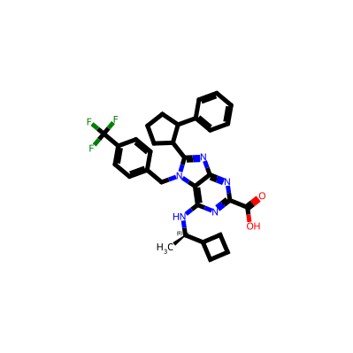 C[C@@H](Nc1nc(C(=O)O)nc2nc(C3CCCC3c3ccccc3)n(Cc3ccc(C(F)(F)F)cc3)c12)C1CCC1